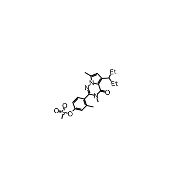 CCC(CC)c1cc(C)n2nc(-c3ccc(OS(C)(=O)=O)cc3C)n(C)c(=O)c12